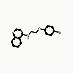 Brc1ccc(OCCNc2ncnc3ccccc23)cc1